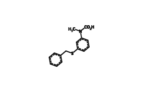 CN(C(=O)O)c1cccc(SCc2ccccc2)c1